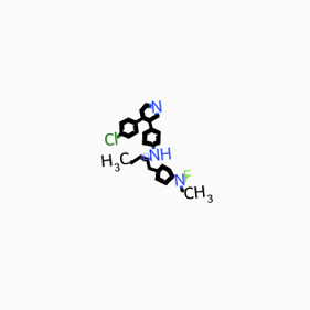 CC/C=C(\Cc1ccc(N(F)CC)cc1)Nc1ccc(-c2cnccc2-c2ccc(Cl)cc2)cc1